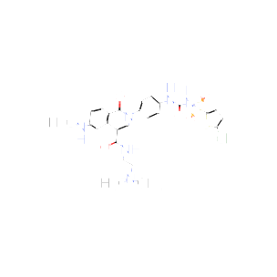 CNc1ccc2c(=O)n(-c3ccc(NC(=O)NS(=O)(=O)c4ccc(Cl)s4)cc3)cc(C(=O)NCCN(C)C)c2c1